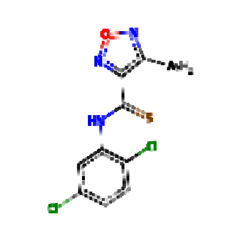 S=C(Nc1cc(Cl)ccc1Cl)c1nonc1[AsH2]